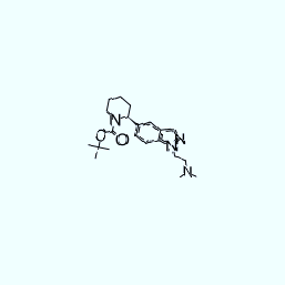 CN(C)CCn1ncc2cc([C@@H]3CCCCN3C(=O)OC(C)(C)C)ccc21